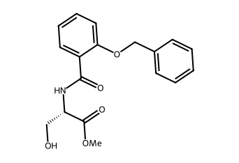 COC(=O)[C@H](CO)NC(=O)c1ccccc1OCc1ccccc1